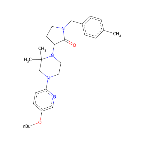 CCCCOc1ccc(N2CCN(C3CCN(Cc4ccc(C)cc4)C3=O)C(C)(C)C2)nc1